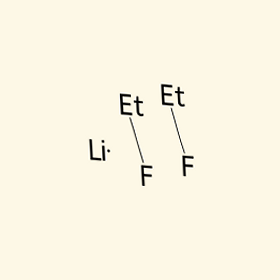 CCF.CCF.[Li]